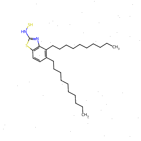 CCCCCCCCCCc1ccc2sc(NS)nc2c1CCCCCCCCCC